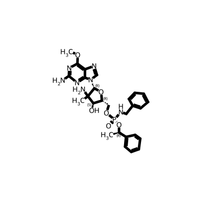 COc1nc(N)nc2c1ncn2[C@@H]1O[C@H](COP(=O)(NCc2ccccc2)O[C@H](C)c2ccccc2)[C@@H](O)C1(C)N